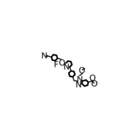 COCCn1c(Cc2ccc(-c3cccc(OCc4ccc(C#N)cc4F)n3)cc2)nc2ccc(C(=O)OC)cc21